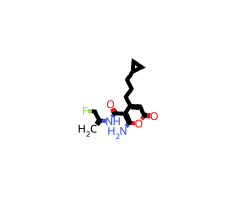 C=C(CF)NC(=O)c1c(CCCC2CC2)cc(=O)oc1N